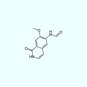 COc1cc2c(=O)[nH]ccc2cc1NC=O